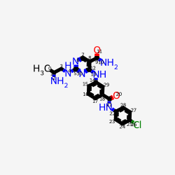 CC(N)CNc1ncc(C(N)=O)c(Nc2cccc(C(=O)Nc3ccc(Cl)cc3)c2)n1